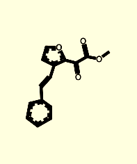 COC(=O)C(=O)c1occc1/C=C/c1ccccc1